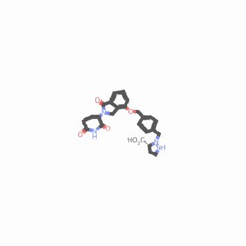 O=C1CCC(N2Cc3c(OCc4ccc(CN5NCC[C@@H]5C(=O)O)cc4)cccc3C2=O)C(=O)N1